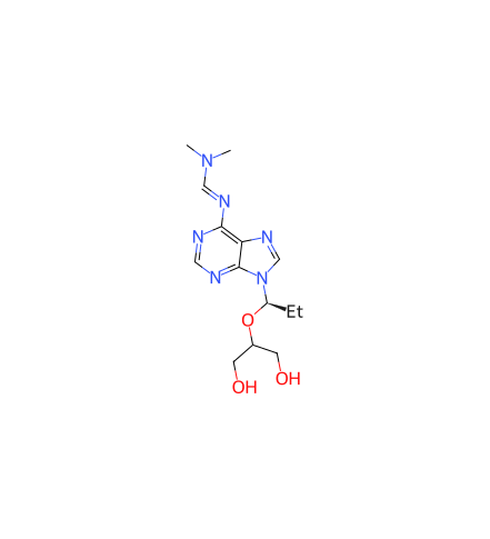 CC[C@@H](OC(CO)CO)n1cnc2c(/N=C/N(C)C)ncnc21